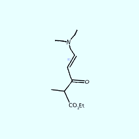 CCOC(=O)C(C)C(=O)/C=C/N(C)C